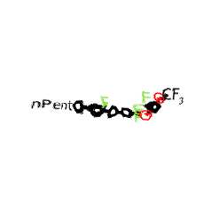 CCCCCC1CCC(c2ccc(C3CCC(C4CCC(C(F)(F)Oc5ccc(OCC(F)(F)F)c(F)c5)CC4)CC3)c(F)c2)CC1